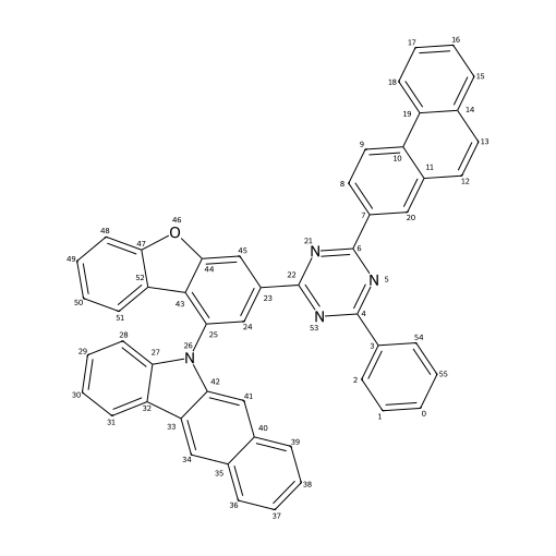 c1ccc(-c2nc(-c3ccc4c(ccc5ccccc54)c3)nc(-c3cc(-n4c5ccccc5c5cc6ccccc6cc54)c4c(c3)oc3ccccc34)n2)cc1